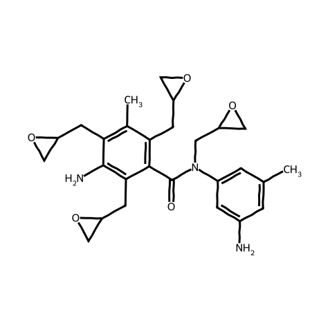 Cc1cc(N)cc(N(CC2CO2)C(=O)c2c(CC3CO3)c(C)c(CC3CO3)c(N)c2CC2CO2)c1